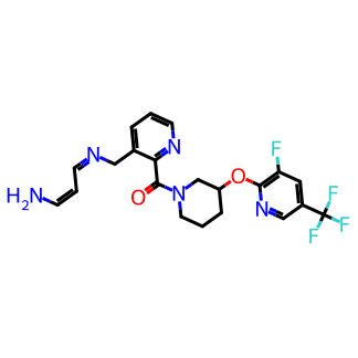 N/C=C\C=N/Cc1cccnc1C(=O)N1CCCC(Oc2ncc(C(F)(F)F)cc2F)C1